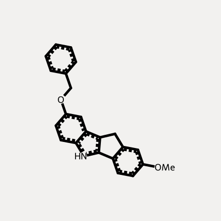 COc1ccc2c(c1)Cc1c-2[nH]c2ccc(OCc3ccccc3)cc12